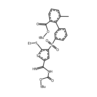 CCSc1sc(C(=N)NC(=O)OC(C)(C)C)cc1S(=O)(=O)c1cccc(-c2c(C)cccc2C(=O)OC(C)(C)C)c1